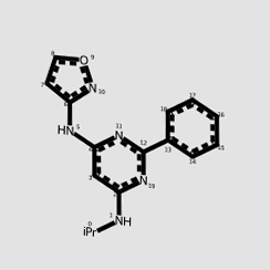 CC(C)Nc1cc(Nc2ccon2)nc(-c2ccccc2)n1